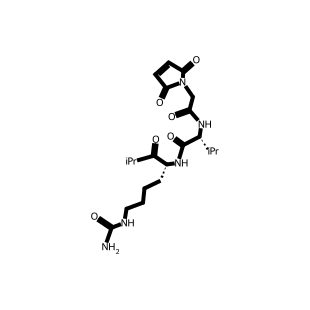 CC(C)C(=O)[C@@H](CCCCNC(N)=O)NC(=O)[C@H](NC(=O)CN1C(=O)C=CC1=O)C(C)C